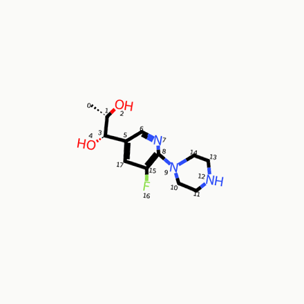 C[C@H](O)[C@@H](O)c1cnc(N2CCNCC2)c(F)c1